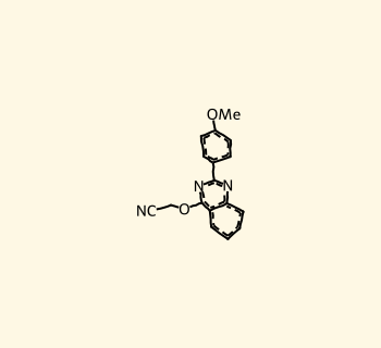 COc1ccc(-c2nc(OCC#N)c3ccccc3n2)cc1